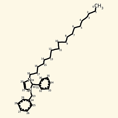 CCCCCCCCCCCCCCCCCCCN1C=CN(Cc2ccccc2)C1c1ccccc1